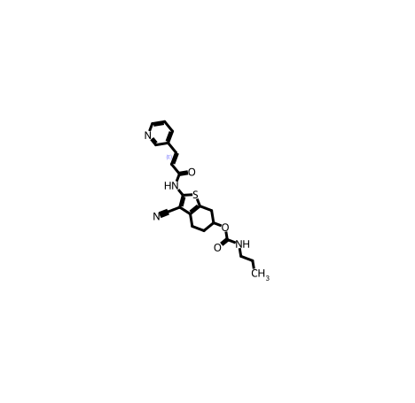 CCCNC(=O)OC1CCc2c(sc(NC(=O)/C=C/c3cccnc3)c2C#N)C1